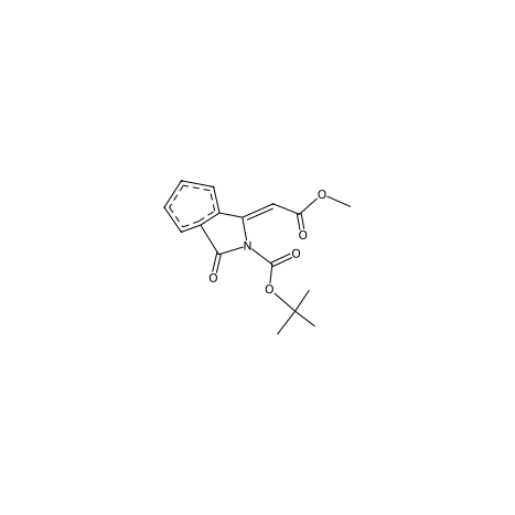 COC(=O)/C=C1/c2ccccc2C(=O)N1C(=O)OC(C)(C)C